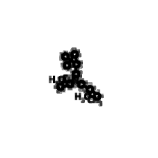 CC1(C)c2ccccc2-c2ccc(-c3ccc(N(c4ccc(-c5ccc6c(c5)C(c5ccccc5)(c5ccccc5)c5ccccc5-6)cc4)c4ccc5c(c4)C(C)(C)c4ccccc4-5)cc3)cc21